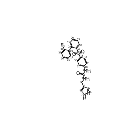 O=C(NCc1cn[nH]c1)Nc1ccc(S(=O)(=O)c2ccccc2-c2ccccc2F)cc1